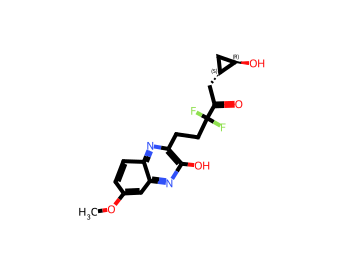 COc1ccc2nc(CCC(F)(F)C(=O)C[C@@H]3C[C@H]3O)c(O)nc2c1